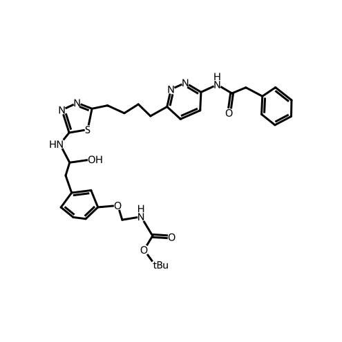 CC(C)(C)OC(=O)NCOc1cccc(CC(O)Nc2nnc(CCCCc3ccc(NC(=O)Cc4ccccc4)nn3)s2)c1